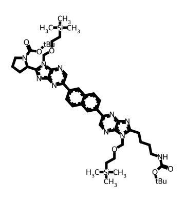 CC(C)(C)OC(=O)NCCCCc1nc2nc(-c3ccc4cc(-c5cnc6c(n5)nc(C5CCCN5C(=O)OC(C)(C)C)n6COCC[Si](C)(C)C)ccc4c3)cnc2n1COCC[Si](C)(C)C